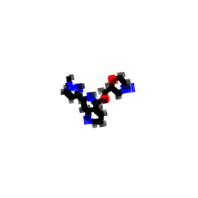 Cn1ccc(-c2cc3ncccc3c(OC[C@@H]3CNCCO3)n2)n1